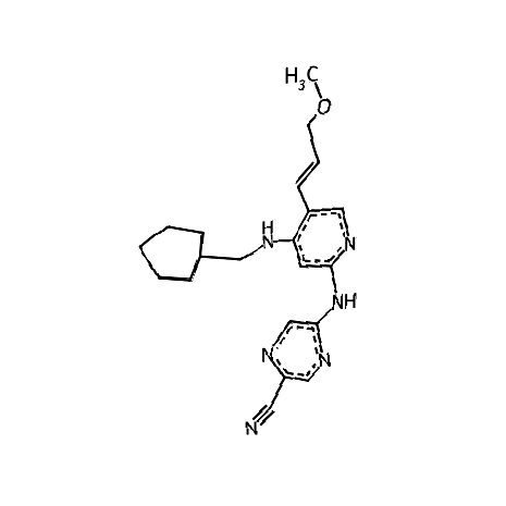 COC/C=C/c1cnc(Nc2cnc(C#N)cn2)cc1NCC1CCCCC1